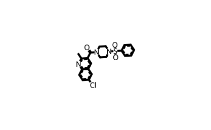 Cc1nc2ccc(Cl)cc2cc1C(=O)N1CCN(S(=O)(=O)c2ccccc2)CC1